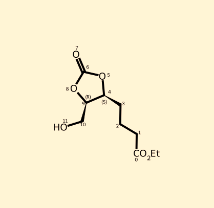 CCOC(=O)CCC[C@@H]1OC(=O)O[C@@H]1CO